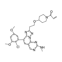 C=CC(=O)N1CCC(OCCc2nc3c(-c4cc(OC)cc(OC)c4Cl)cc4cnc(NC)nc4n3n2)CC1